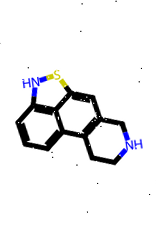 c1cc2c3c(cc4c(c3c1)CCNC4)SN2